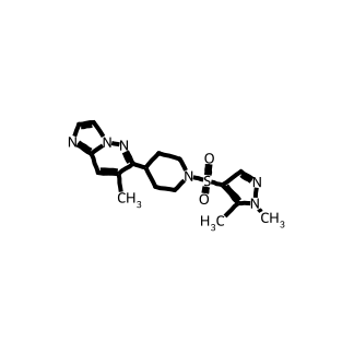 Cc1cc2nccn2nc1C1CCN(S(=O)(=O)c2cnn(C)c2C)CC1